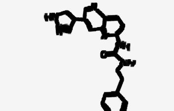 O=C(NCCc1ccccc1)Nc1ccc2ncc(-c3cn[nH]c3)cc2n1